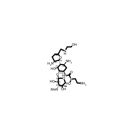 CN[C@@H]1[C@@H](O)[C@@H](O[C@H]2[C@H](NC(=O)N(O)CCN)C[C@H](N)C([C@H]3OC(CNCCO)=CC[C@H]3N)[C@@H]2O)OC[C@]1(C)O